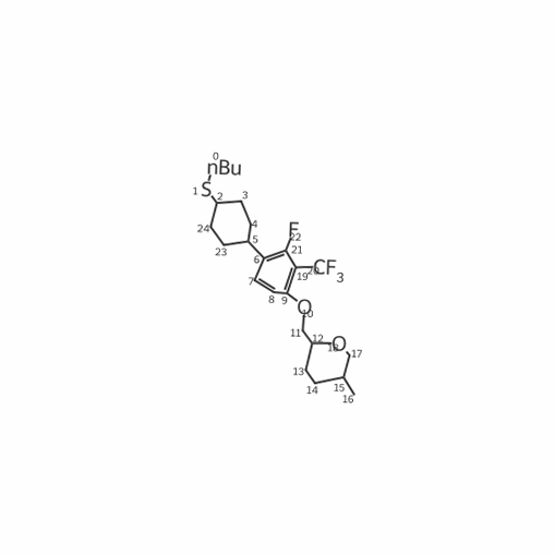 CCCCSC1CCC(c2ccc(OCC3CCC(C)CO3)c(C(F)(F)F)c2F)CC1